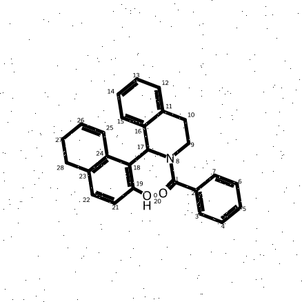 O=C(c1ccccc1)N1CCc2ccccc2C1c1c(O)ccc2c1C=CCC2